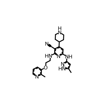 Cc1cc(Nc2cc(C3CCNCC3)c(C#N)c(NCCOc3cccnc3C)n2)n[nH]1